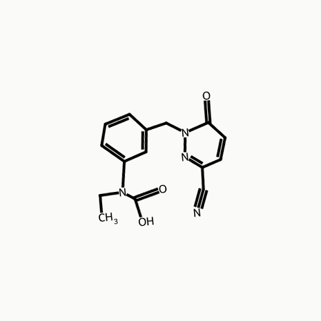 CCN(C(=O)O)c1cccc(Cn2nc(C#N)ccc2=O)c1